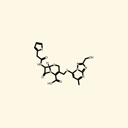 Cc1cc(SCC2=C(C(=O)O)N3C(=O)C(NC(=O)Cc4cccs4)[C@@H]3SC2)n2nc(CO)nc2n1